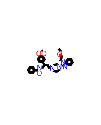 CCOCCn1c(N2CCCN(CCC(CN(C)C(=O)c3ccccc3)c3ccc4c(c3)OCO4)CC2)nc2ccccc21